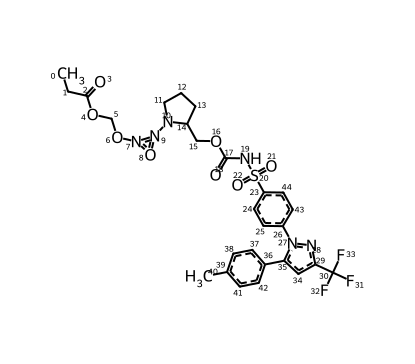 CCC(=O)OCOn1on1N1CCCC1COC(=O)NS(=O)(=O)c1ccc(-n2nc(C(F)(F)F)cc2-c2ccc(C)cc2)cc1